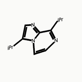 CC(C)c1nccn2c(C(C)C)cnc12